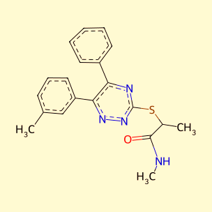 CNC(=O)C(C)Sc1nnc(-c2cccc(C)c2)c(-c2ccccc2)n1